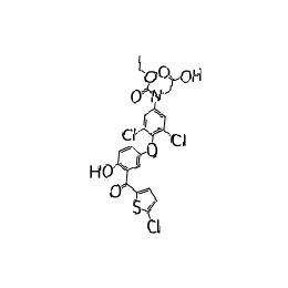 CCOC(=O)N(CC(=O)O)c1cc(Cl)c(Oc2ccc(O)c(C(=O)c3ccc(Cl)s3)c2)c(Cl)c1